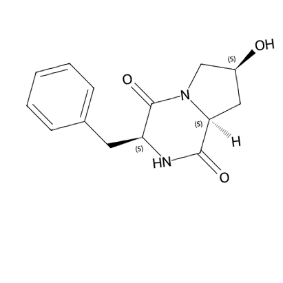 O=C1N[C@@H](Cc2ccccc2)C(=O)N2C[C@@H](O)C[C@@H]12